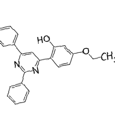 CCOc1ccc(-c2cc(-c3ccccc3)nc(-c3ccccc3)n2)c(O)c1